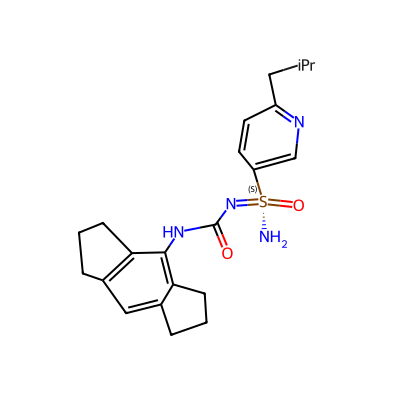 CC(C)Cc1ccc([S@@](N)(=O)=NC(=O)Nc2c3c(cc4c2CCC4)CCC3)cn1